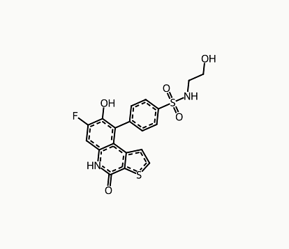 O=c1[nH]c2cc(F)c(O)c(-c3ccc(S(=O)(=O)NCCO)cc3)c2c2ccsc12